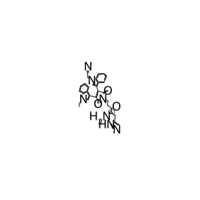 CCn1cc(C2=C(c3cn(CC#N)c4ccccc34)C(=O)N(CCC(=O)[C@@H](N)Cc3cnc[nH]3)C2=O)c2ccccc21